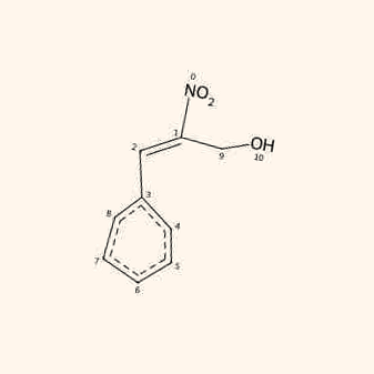 O=[N+]([O-])C(=Cc1ccccc1)CO